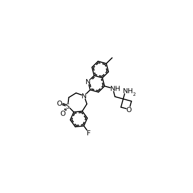 Cc1ccc2nc(N3CCS(=O)(=O)c4ccc(F)cc4C3)cc(NCC3(N)COC3)c2c1